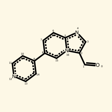 O=Cc1cnc2ccc(-c3ccncc3)cn12